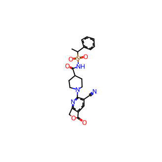 CC(c1ccccc1)S(=O)(=O)NC(=O)C1CCN(c2nc3c(cc2C#N)C(=O)OC3)CC1